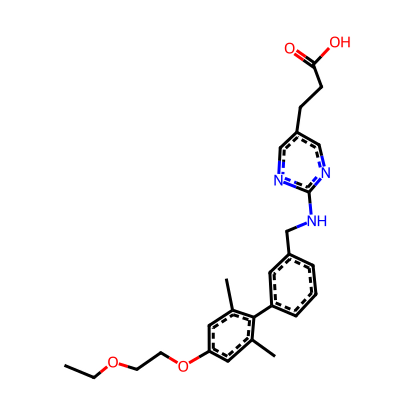 CCOCCOc1cc(C)c(-c2cccc(CNc3ncc(CCC(=O)O)cn3)c2)c(C)c1